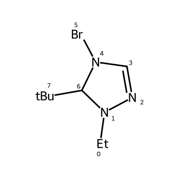 CCN1N=CN(Br)C1C(C)(C)C